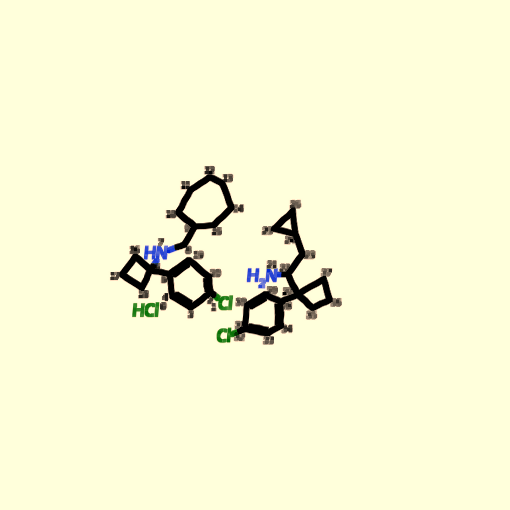 Cl.Clc1ccc(C2(NCC3CCCCCC3)CCC2)cc1.NC(CC1CC1)C1(c2ccc(Cl)cc2)CCC1